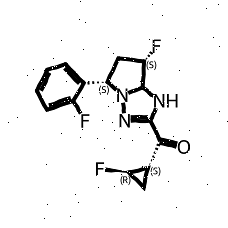 O=C(C1=NN2C(N1)[C@@H](F)C[C@H]2c1ccccc1F)[C@@H]1C[C@H]1F